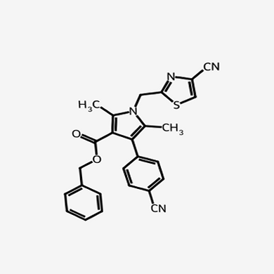 Cc1c(C(=O)OCc2ccccc2)c(-c2ccc(C#N)cc2)c(C)n1Cc1nc(C#N)cs1